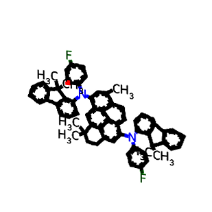 Cc1cc(N(c2ccc(F)cc2)c2cccc3c2C(C)(C)c2ccccc2-3)c2cc3c4c(cc(N(c5ccc(F)cc5)c5cccc6c5C(C)(C)c5ccccc5-6)c5ccc1c2c54)CCC3(C)C